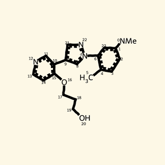 CNc1ccc(C)c(-n2cc(-c3cnccc3OCCCO)cn2)c1